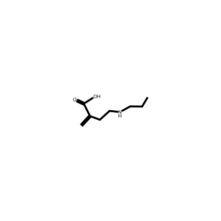 C=C(CCNCCC)C(=O)O